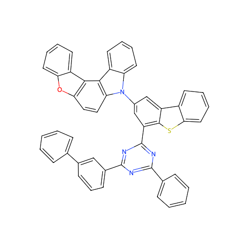 c1ccc(-c2cccc(-c3nc(-c4ccccc4)nc(-c4cc(-n5c6ccccc6c6c7c(ccc65)oc5ccccc57)cc5c4sc4ccccc45)n3)c2)cc1